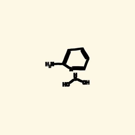 Nc1ccccn1.OBO